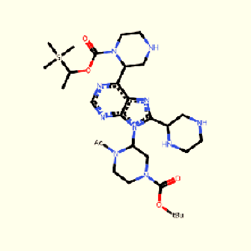 CC(=O)N1CCN(C(=O)OC(C)(C)C)CC1n1c(C2CNCCN2)nc2c(C3CNCCN3C(=O)OC(C)[Si](C)(C)C)ncnc21